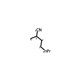 CCCCCC(C)C#N